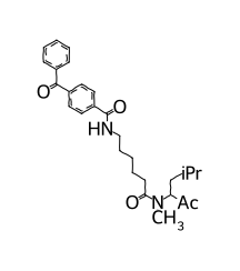 CC(=O)C(CC(C)C)N(C)C(=O)CCCCCNC(=O)c1ccc(C(=O)c2ccccc2)cc1